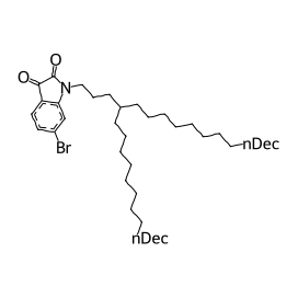 CCCCCCCCCCCCCCCCCCC(CCCCCCCCCCCCCCCCCC)CCCN1C(=O)C(=O)c2ccc(Br)cc21